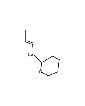 CC=C[SiH2]C1CCCCO1